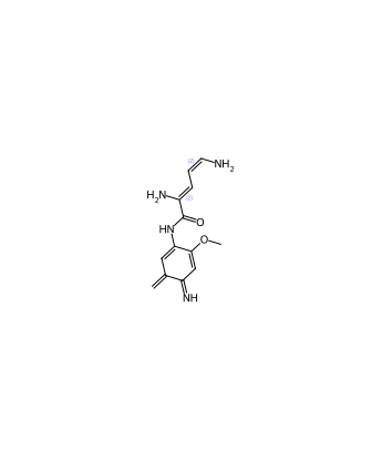 C=C1C=C(NC(=O)/C(N)=C/C=C\N)C(OC)=CC1=N